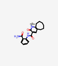 CCCCn1c2c(cc(C(=O)Nc3ccccc3C(N)=O)c1=O)CCCCCC2